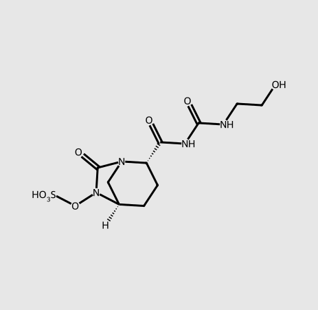 O=C(NCCO)NC(=O)[C@@H]1CC[C@@H]2CN1C(=O)N2OS(=O)(=O)O